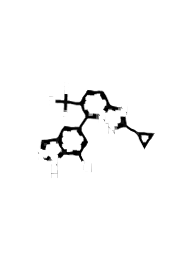 FC(F)(F)c1ccc2nc(C3CC3)nn2c1-c1cc(Cl)c2[nH]ncc2c1